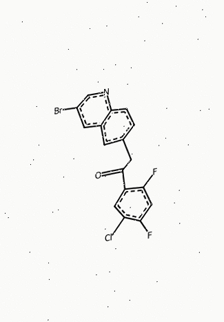 O=C(Cc1ccc2ncc(Br)cc2c1)c1cc(Cl)c(F)cc1F